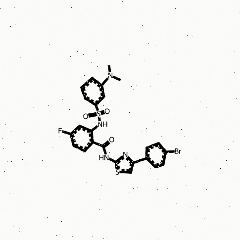 CN(C)c1cccc(S(=O)(=O)Nc2cc(F)ccc2C(=O)Nc2nc(-c3ccc(Br)cc3)cs2)c1